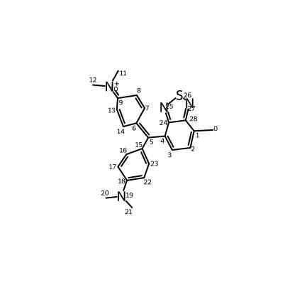 Cc1ccc(C(=C2C=CC(=[N+](C)C)C=C2)c2ccc(N(C)C)cc2)c2nsnc12